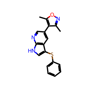 Cc1noc(C)c1-c1cnc2[nH]cc(Sc3ccccc3)c2c1